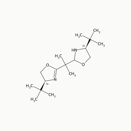 CC(C)(C1=N[C@@H](C(C)(C)C)CO1)C1N[C@@H](C(C)(C)C)CO1